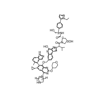 CCn1nccc1-c1ccc([C@H](CO)NC(=O)[C@@H]2C[C@@H](O)CN2C(=O)C(C(C)C)n2cc3c(n2)c(O)nc2cc(COc4c(-c5c(C)ccc6[nH]ncc56)c(C5CC5)cc5c(N6C[C@@H]7C[C@H]6CN7)nc(OC6CCOCC6)nc45)ccc23)cc1